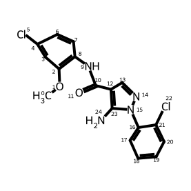 COc1cc(Cl)ccc1NC(=O)c1cnn(-c2ccccc2Cl)c1N